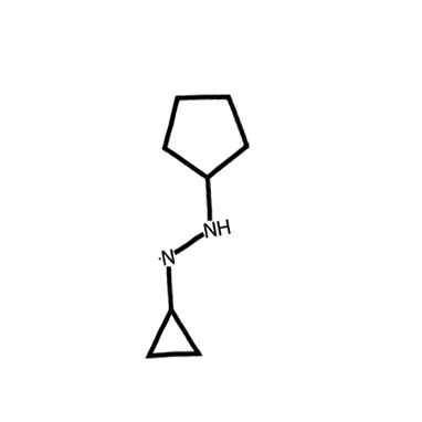 C1CCC(N[N]C2CC2)C1